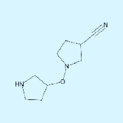 N#CC1CCN(OC2CCNC2)C1